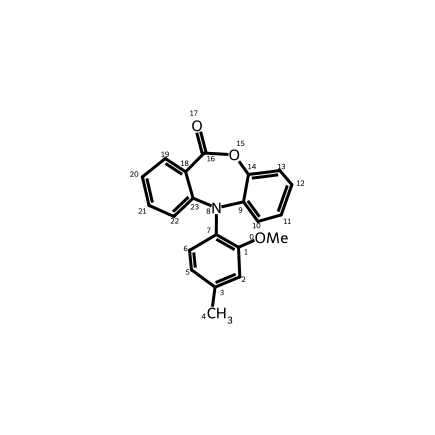 COc1cc(C)ccc1N1c2ccccc2OC(=O)c2ccccc21